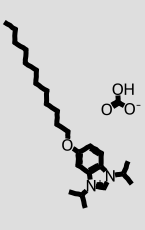 CCCCCCCCCCCCOc1ccc2c(c1)[n+](C(C)C)cn2C(C)C.O=C([O-])O